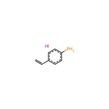 C=Cc1ccc(P)cc1.I